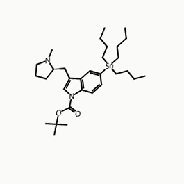 CCC[CH2][Sn]([CH2]CCC)([CH2]CCC)[c]1ccc2c(c1)c(C[C@H]1CCCN1C)cn2C(=O)OC(C)(C)C